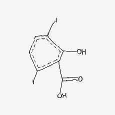 O=C(O)c1c(I)ccc(I)c1O